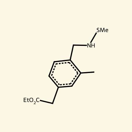 CCOC(=O)Cc1ccc(CNSC)c(C)c1